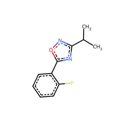 CC(C)c1noc(-c2ccccc2F)n1